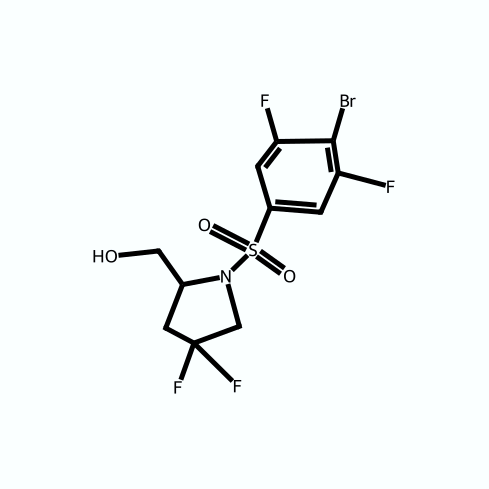 O=S(=O)(c1cc(F)c(Br)c(F)c1)N1CC(F)(F)CC1CO